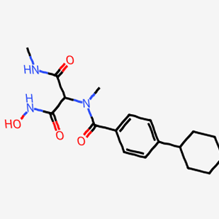 CNC(=O)C(C(=O)NO)N(C)C(=O)c1ccc(C2CCCCC2)cc1